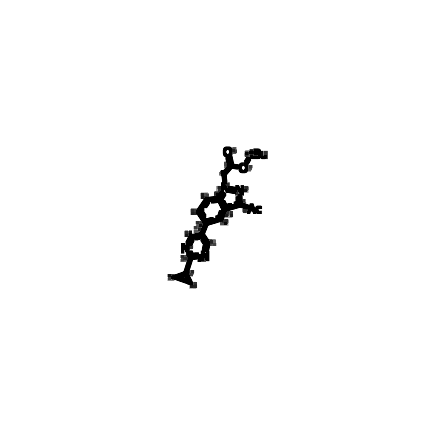 CC(=O)c1nn(CC(=O)OC(C)(C)C)c2ccc(-c3cnc(C4CC4)nc3)cc12